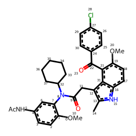 COc1ccc(NC(C)=O)cc1N(C(=O)Cc1c(C)[nH]c2ccc(OC)c(C(=O)c3ccc(Cl)cc3)c12)C1CCCCC1